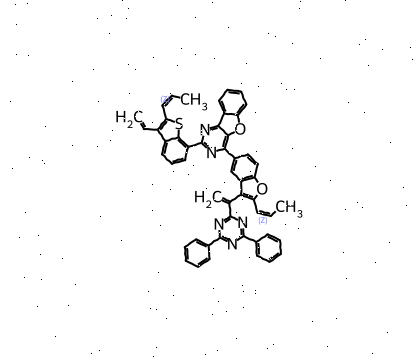 C=Cc1c(/C=C\C)sc2c(-c3nc(-c4ccc5oc(/C=C\C)c(C(=C)c6nc(-c7ccccc7)nc(-c7ccccc7)n6)c5c4)c4oc5ccccc5c4n3)cccc12